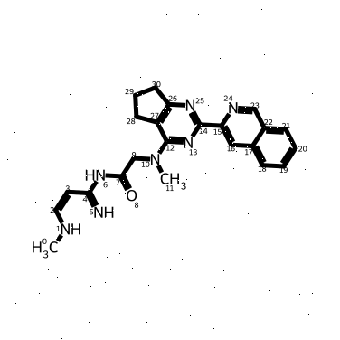 CN/C=C\C(=N)NC(=O)CN(C)c1nc(-c2cc3ccccc3cn2)nc2c1CCC2